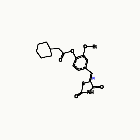 CCOc1cc(/C=C2\SC(=O)NC2=O)ccc1OC(=O)CC1CCCCC1